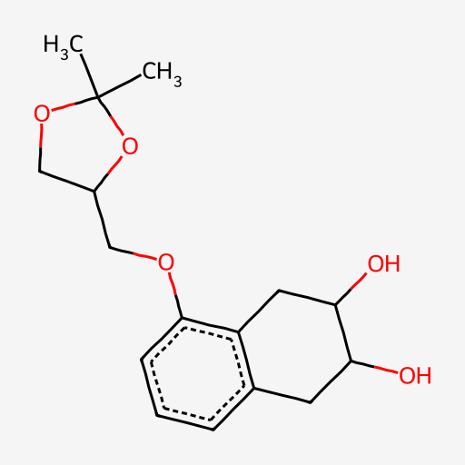 CC1(C)OCC(COc2cccc3c2CC(O)C(O)C3)O1